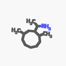 CC1CCCCCC(C)C(C(C)N)C1